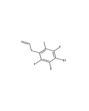 C=CCc1c(C)c(F)c(CC)c(F)c1F